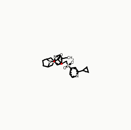 Cc1ccc(N2C3CCC2CN(C(=O)CCS(=O)(=O)c2ccnc(C4CC4)c2)C3)nc1